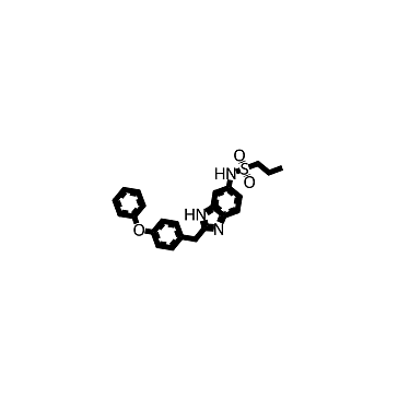 CCCS(=O)(=O)Nc1ccc2nc(Cc3ccc(Oc4ccccc4)cc3)[nH]c2c1